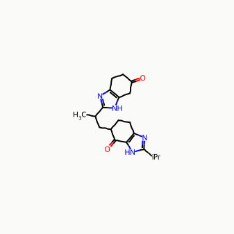 CC(C)c1nc2c([nH]1)C(=O)C(CC(C)c1nc3c([nH]1)CC(=O)CC3)CC2